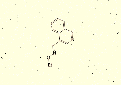 CCON=Cc1cnnc2ccccc12